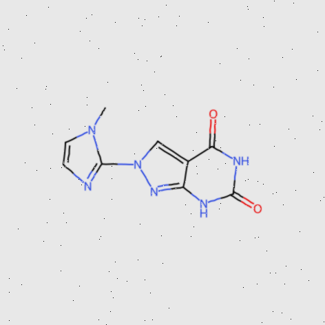 Cn1ccnc1-n1cc2c(=O)[nH]c(=O)[nH]c2n1